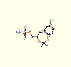 CC1(C)Oc2ccc(F)cc2CC(COS(N)(=O)=O)O1